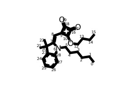 CCCCCCN1C(=Cc2c(OCCCC)c(=O)c2=O)C(C)(C)c2ccccc21